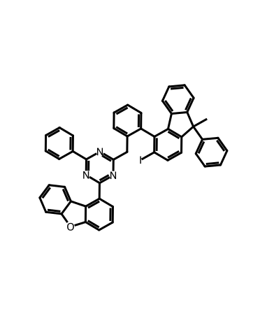 CC1(c2ccccc2)c2ccccc2-c2c1ccc(I)c2-c1ccccc1Cc1nc(-c2ccccc2)nc(-c2cccc3oc4ccccc4c23)n1